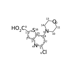 O=C(O)c1cc2nc(Cl)cc(N3CCOCC3)c2s1